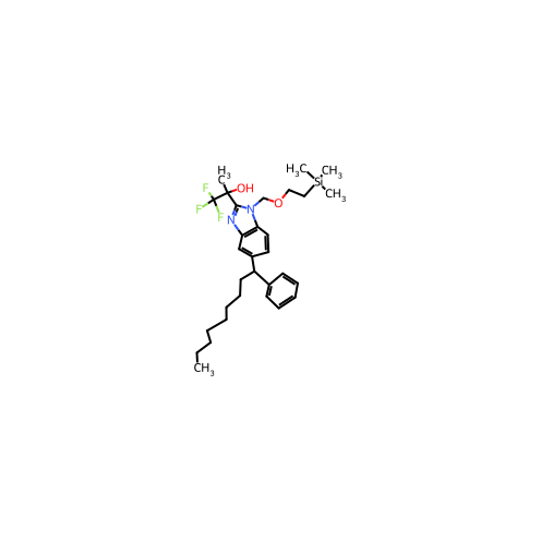 CCCCCCCCC(c1ccccc1)c1ccc2c(c1)nc(C(C)(O)C(F)(F)F)n2COCC[Si](C)(C)C